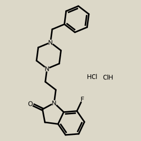 Cl.Cl.O=C1Cc2cccc(F)c2N1CCN1CCN(Cc2ccccc2)CC1